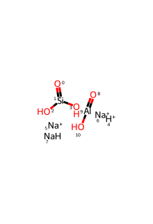 O=[Si](O)O.[H+].[Na+].[Na+].[NaH].[O]=[Al][OH]